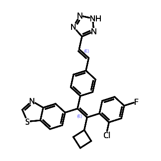 Fc1ccc(/C(=C(\c2ccc(/C=C/c3nn[nH]n3)cc2)c2ccc3scnc3c2)C2CCC2)c(Cl)c1